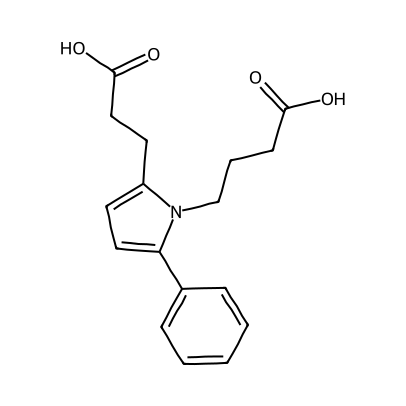 O=C(O)CCCn1c(CCC(=O)O)ccc1-c1ccccc1